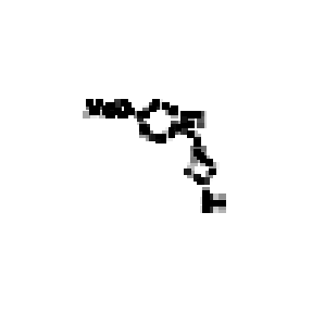 COc1ccc(CN2CC(S)C2)cc1.Cl